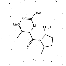 COC(=O)N[C@H](C(=O)N1C(C)CC[C@H]1C(=O)O)[C@@H](C)OC